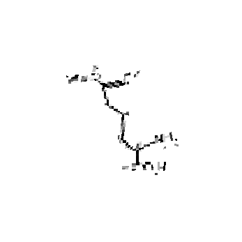 COC(=O)CCC[C@@H](N)C(=O)O